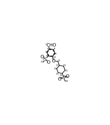 CS(=O)(=O)c1cc(C=O)ccc1OCC1CCC(S(C)(=O)=O)CC1